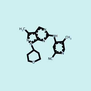 Cc1cnc(C#N)cc1Nc1ncc2c(C)nn(C3CCOCC3)c2n1